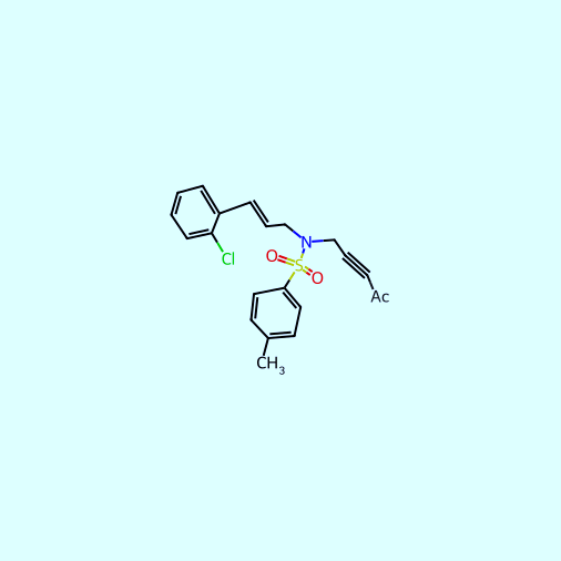 CC(=O)C#CCN(CC=Cc1ccccc1Cl)S(=O)(=O)c1ccc(C)cc1